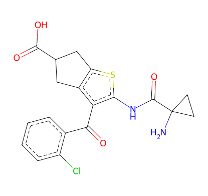 NC1(C(=O)Nc2sc3c(c2C(=O)c2ccccc2Cl)CC(C(=O)O)C3)CC1